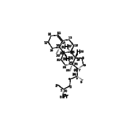 CC(C)[C@H](C)CC[C@@H](C)[C@H]1CC[C@H]2[C@@H]3CCC4=CCCC[C@]4(C)[C@H]3CC[C@]12C